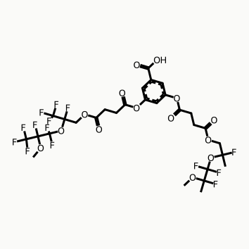 COC(C)(F)C(F)(F)OC(C)(F)COC(=O)CCC(=O)Oc1cc(OC(=O)CCC(=O)OCC(F)(OC(F)(F)C(F)(OC)C(F)(F)F)C(F)(F)F)cc(C(=O)O)c1